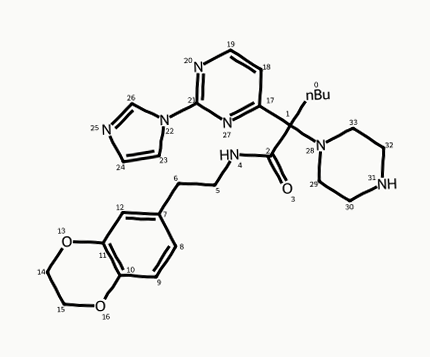 CCCCC(C(=O)NCCc1ccc2c(c1)OCCO2)(c1ccnc(-n2ccnc2)n1)N1CCNCC1